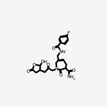 NC(=O)C1CC=C(CNC(=O)c2ccc(F)cc2)CN(CC(=O)CC2CC(=O)OC2O)C1=O